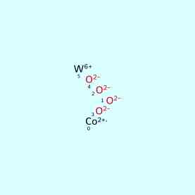 [Co+2].[O-2].[O-2].[O-2].[O-2].[W+6]